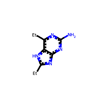 CCc1nc2nc(N)nc(CC)c2[nH]1